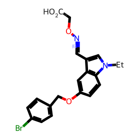 CCn1cc(/C=N/OCC(=O)O)c2cc(OCc3ccc(Br)cc3)ccc21